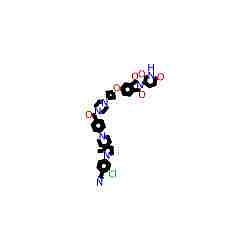 CC1N(c2ccc(C#N)c(Cl)c2)CCC12CCN(c1ccc(C(=O)N3CCN(C4CC(Oc5ccc6c(c5)C(=O)N(C5CCC(=O)NC5=O)C6=O)C4)CC3)cc1)CC2